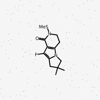 CSN1CCc2c(c(F)c3n2CC(C)(C)C3)C1=O